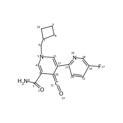 NC(=O)C1=CN(CC2CCC2)C=C(c2ccc(F)cn2)C1=C=O